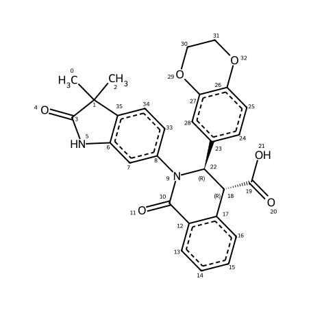 CC1(C)C(=O)Nc2cc(N3C(=O)c4ccccc4[C@@H](C(=O)O)[C@@H]3c3ccc4c(c3)OCCO4)ccc21